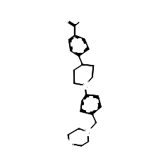 O=C(O)c1ccc(C2CCN(c3ccc(CN4CCOCC4)cc3)CC2)cc1